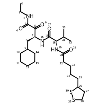 CCNC(=O)C(=O)[C@H](CC1CCCCC1)NC(=O)[C@@H](NC(=O)CCCCC1CCSS1)C(C)C